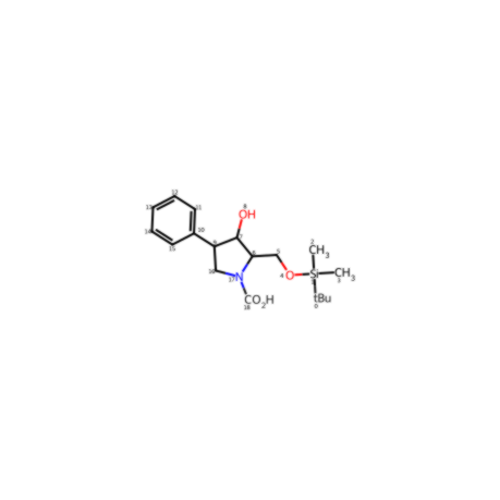 CC(C)(C)[Si](C)(C)OCC1C(O)C(c2ccccc2)CN1C(=O)O